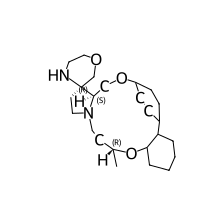 C[C@@H]1CCN2CC[C@]3(COCCN3)[C@H]2COC2CCC(CC2)C2CCCCC2O1